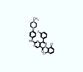 CN1CCN(c2ccc(Nc3ncc4c(=O)n(-c5c(Cl)cccc5Cl)nc(-c5cccc(F)c5)c4n3)cc2)CC1